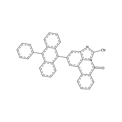 N#Cc1nc2cc(-c3c4ccccc4c(-c4ccccc4)c4ccccc34)cc3c4ccccc4c(=O)n1c23